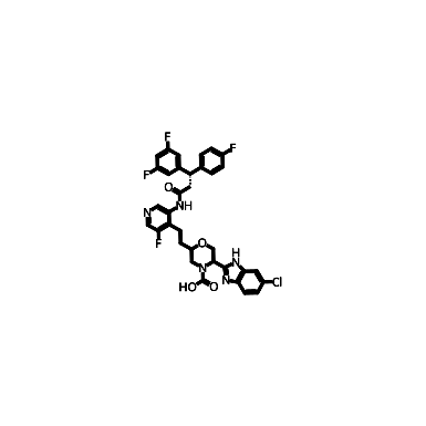 O=C(C[C@@H](c1ccc(F)cc1)c1cc(F)cc(F)c1)Nc1cncc(F)c1CCC1CN(C(=O)O)C(c2nc3ccc(Cl)cc3[nH]2)CO1